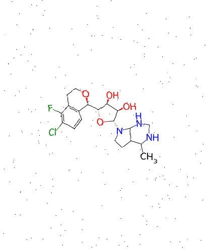 CC1NCNC2C1CCN2[C@@H]1O[C@H]([C@@H]2OCCc3c2ccc(Cl)c3F)[C@@H](O)[C@H]1O